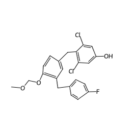 COCOc1ccc(Cc2c(Cl)cc(O)cc2Cl)cc1Cc1ccc(F)cc1